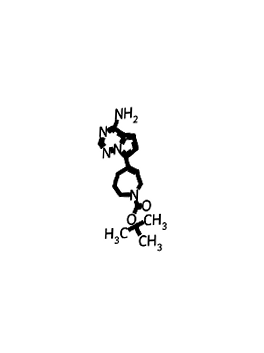 CC(C)(C)OC(=O)N1CC=C(c2ccc3c(N)ncnn23)CCC1